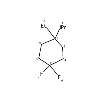 CCC1(C(C)C)CCC(F)(F)CC1